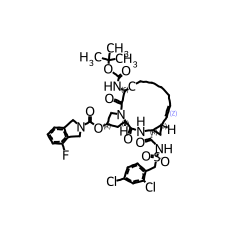 CC(C)(C)OC(=O)N[C@H]1CCCCC/C=C\[C@@H]2C[C@@]2(C(=O)NS(=O)(=O)Cc2ccc(Cl)cc2Cl)NC(=O)[C@@H]2C[C@@H](OC(=O)N3Cc4cccc(F)c4C3)CN2C1=O